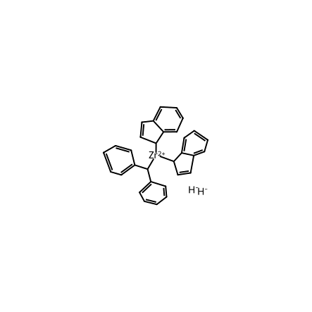 C1=C[CH]([Zr+2]([CH]2C=Cc3ccccc32)[CH](c2ccccc2)c2ccccc2)c2ccccc21.[H-].[H-]